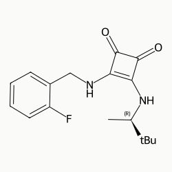 C[C@@H](Nc1c(NCc2ccccc2F)c(=O)c1=O)C(C)(C)C